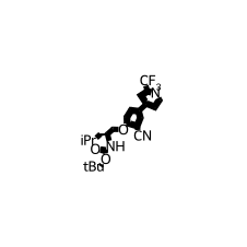 CC(C)C[C@@H](COc1ccc(-c2ccnc(C(F)(F)F)c2)cc1C#N)NC(=O)OC(C)(C)C